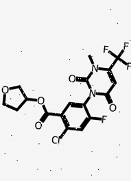 Cn1c(C(F)(F)F)cc(=O)n(-c2cc(C(=O)OC3CCOC3)c(Cl)cc2F)c1=O